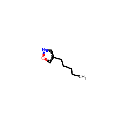 CCCCCc1[c]noc1